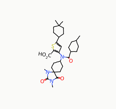 CC1CCC(C(=O)N(c2cc(C3CCC(C)(C)CC3)sc2C(=O)O)C2CCC3(CC2)C(=O)N(C)C(=O)N3C)CC1